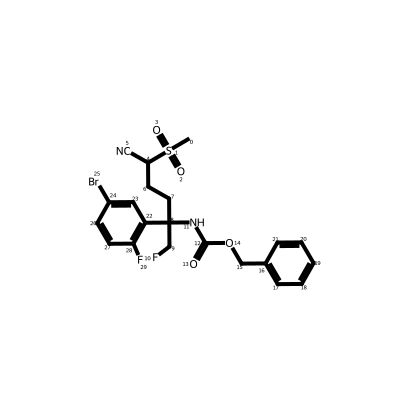 CS(=O)(=O)C(C#N)CCC(CF)(NC(=O)OCc1ccccc1)c1cc(Br)ccc1F